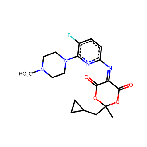 CC1(CC2CC2)OC(=O)C(=Nc2ccc(F)c(N3CCN(C(=O)O)CC3)n2)C(=O)O1